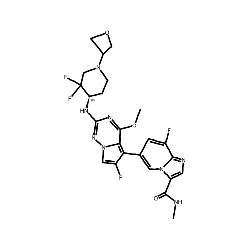 CNC(=O)c1cnc2c(F)cc(-c3c(F)cn4nc(N[C@@H]5CCN(C6COC6)CC5(F)F)nc(OC)c34)cn12